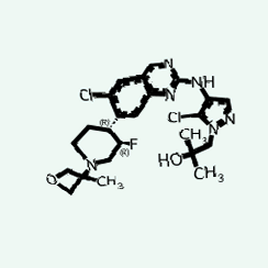 CC(C)(O)Cn1ncc(Nc2ncc3cc(Cl)c([C@H]4CCN(C5(C)COC5)C[C@@H]4F)cc3n2)c1Cl